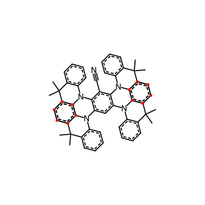 CC1(C)c2ccccc2N(c2cc(N3c4ccccc4C(C)(C)c4ccccc43)c(N3c4ccccc4C(C)(C)c4ccccc43)c(C#N)c2N2c3ccccc3C(C)(C)c3ccccc32)c2ccccc21